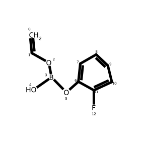 C=COB(O)Oc1ccccc1F